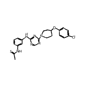 CC(=S)Nc1cccc(Nc2ncnc(N3CCC(Oc4ccc(Cl)cc4)CC3)n2)c1